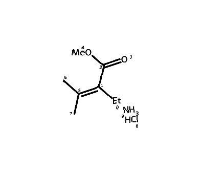 CCC(C(=O)OC)=C(C)C.Cl.N